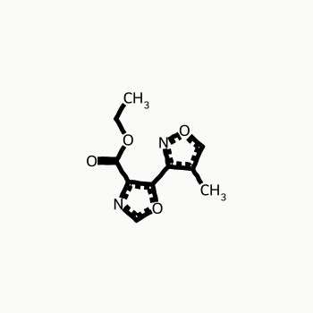 CCOC(=O)c1ncoc1-c1nocc1C